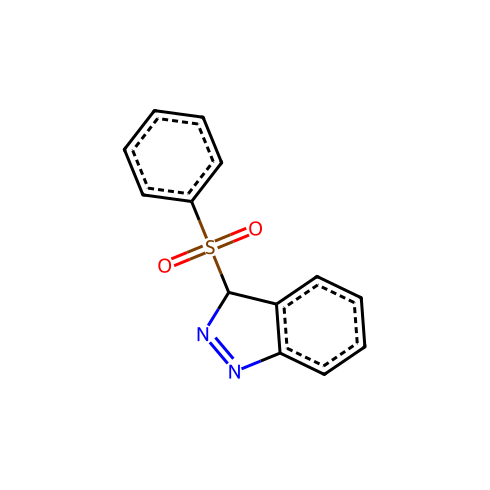 O=S(=O)(c1ccccc1)C1N=Nc2ccccc21